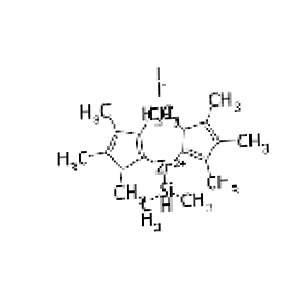 CC1=C(C)C(C)[C]([Zr+2]([C]2=C(C)C(C)=C(C)C2C)[SiH](C)C)=C1C.[I-].[I-]